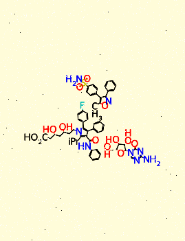 CC(C)c1c(C(=O)Nc2ccccc2)c(-c2ccccc2)c(-c2ccc(F)cc2)n1CC[C@@H](O)C[C@@H](O)CC(=O)O.Cc1onc(-c2ccccc2)c1-c1ccc(S(N)(=O)=O)cc1.Nc1ncn([C@@H]2O[C@H](CO)[C@@H](O)[C@H]2O)c(=O)n1